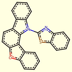 c1ccc2sc(-n3c4ccccc4c4ccc5oc6ccccc6c5c43)nc2c1